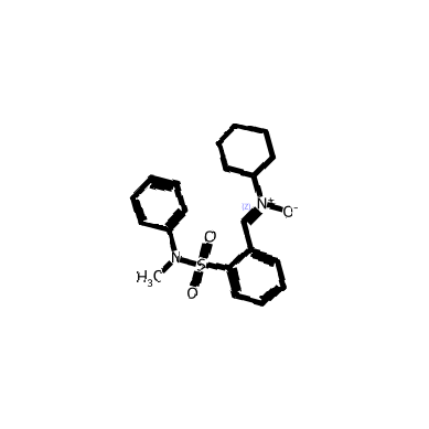 CN(c1ccccc1)S(=O)(=O)c1ccccc1/C=[N+](\[O-])C1CCCCC1